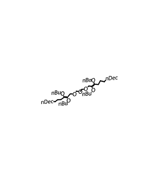 CCCCCCCCCCCCCC(OCCCC)=C(COCOCOCC(OCCCC)=C(CCCCCCCCCCCCC)OCCCC)OCCCC